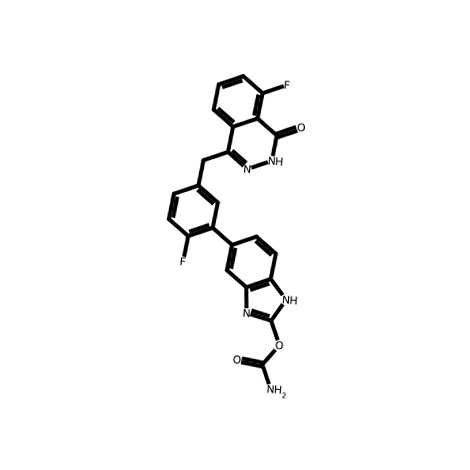 NC(=O)Oc1nc2cc(-c3cc(Cc4n[nH]c(=O)c5c(F)cccc45)ccc3F)ccc2[nH]1